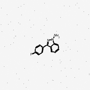 Nn1nc(-c2ccc(F)cc2)c2c[c]ccc21